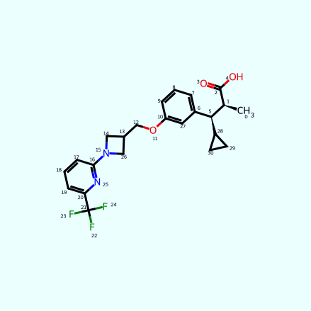 C[C@H](C(=O)O)[C@H](c1cccc(OCC2CN(c3cccc(C(F)(F)F)n3)C2)c1)C1CC1